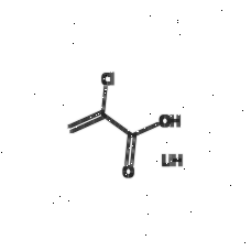 C=C(Cl)C(=O)O.[LiH]